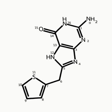 Nc1nc2nc(Cc3cccs3)[nH]c2c(=O)[nH]1